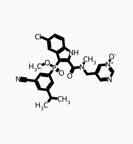 COP(=O)(c1cc(C#N)cc(C(C)C)c1)c1c(C(=O)N(C)Cc2cnc[n+]([O-])c2)[nH]c2ccc(Cl)cc12